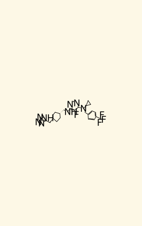 Fc1c(NC[C@H]2CC[C@H](Cc3nnn[nH]3)CC2)ncnc1N(Cc1ccc(C(F)(F)F)cc1)C1CC1